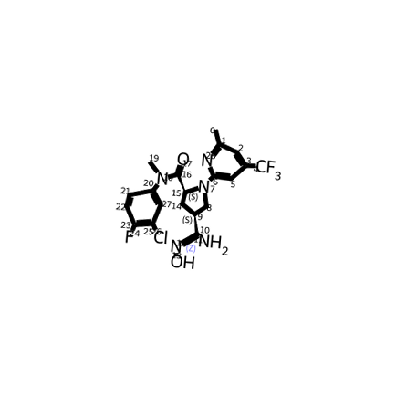 Cc1cc(C(F)(F)F)cc(N2C[C@@H](/C(N)=N/O)C[C@H]2C(=O)N(C)c2ccc(F)c(Cl)c2)n1